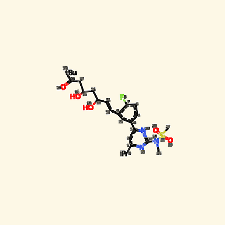 CC(C)c1cc(-c2ccc(F)c(/C=C/C(O)CC(O)CC(=O)C(C)(C)C)c2)nc(N(C)S(C)(=O)=O)n1